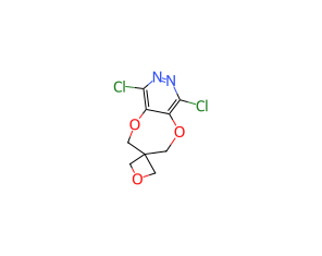 Clc1nnc(Cl)c2c1OCC1(COC1)CO2